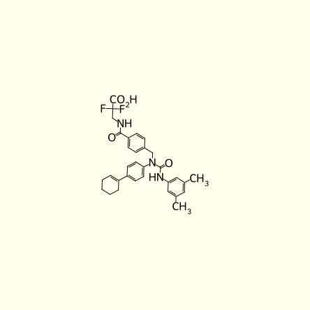 Cc1cc(C)cc(NC(=O)N(Cc2ccc(C(=O)NCC(F)(F)C(=O)O)cc2)c2ccc(C3=CCCCC3)cc2)c1